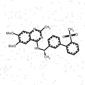 COc1cc2nc(C)nc(N[C@H](C)c3cccc(-c4ccccc4S(C)(=O)=O)c3)c2cc1OC